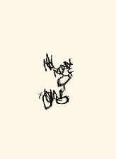 Cn1cc(-c2cn3nccc3c(-c3ccc(CNC(=O)c4coc(C(C)(C)C)n4)cc3F)n2)cn1